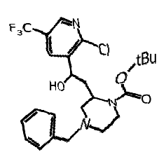 CC(C)(C)OC(=O)N1CCN(Cc2ccccc2)CC1CC(O)c1cc(C(F)(F)F)cnc1Cl